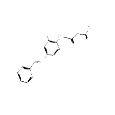 NC(=O)CC(=O)Nc1ccc(OCc2cccc(F)c2)cc1F